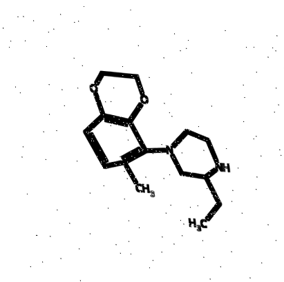 CCC1CN(c2c(C)ccc3c2OCCO3)CCN1